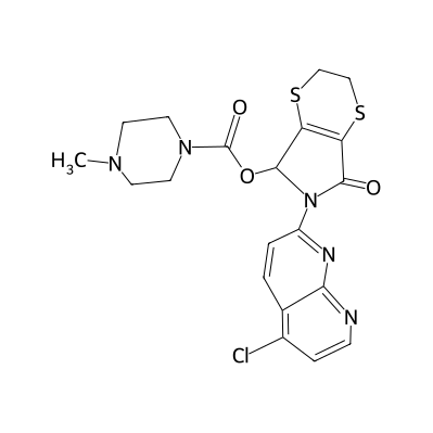 CN1CCN(C(=O)OC2C3=C(SCCS3)C(=O)N2c2ccc3c(Cl)ccnc3n2)CC1